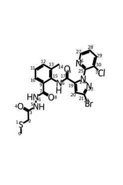 CSCC(=O)NNC(=O)c1cccc(C)c1NC(=O)c1cc(Br)nn1-c1ncccc1Cl